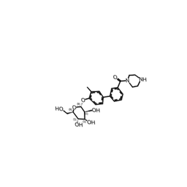 Cc1cc(-c2cccc(C(=O)N3CCNCC3)c2)ccc1O[C@H]1O[C@H](CO)[C@@H](O)[C@H](O)[C@@H]1O